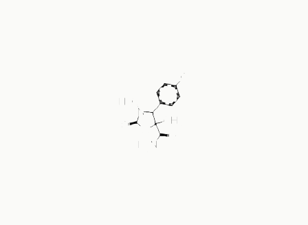 CN1C(=O)OC(C)(C(N)=O)C1c1ccc(Cl)cc1